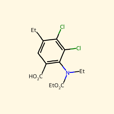 CCOC(=O)N(CC)c1c(C(=O)O)cc(CC)c(Cl)c1Cl